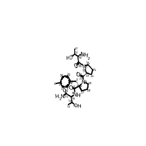 Cc1ccc(C[C@@]2(C(=O)NC(C(N)=O)C(C)O)CCCN2C(=O)[C@@H]2CCCN2C(=O)C(N)C(C)O)cc1